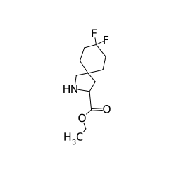 CCOC(=O)C1CC2(CCC(F)(F)CC2)CN1